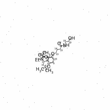 CCN(C1CC(C)(C)Oc2ccc(OCCCC(=O)NCCO)cc21)S(C)(=O)=O